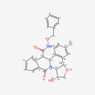 O=C(NOCc1ccccc1)C1c2ccccc2C(=O)N(C2COCC2O)C1c1ccc(Cl)cc1Cl